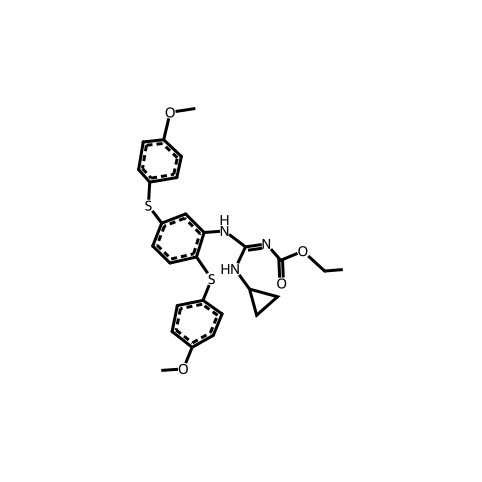 CCOC(=O)/N=C(/Nc1cc(Sc2ccc(OC)cc2)ccc1Sc1ccc(OC)cc1)NC1CC1